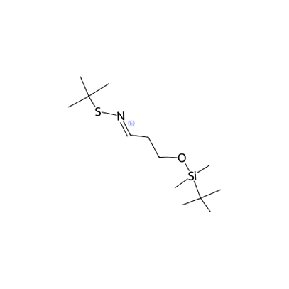 CC(C)(C)S/N=C/CCO[Si](C)(C)C(C)(C)C